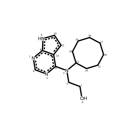 OCCN(c1ncnc2[nH]ccc12)C1CCCCCCC1